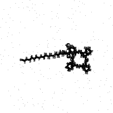 CCCCCCCCCCCCCCCCCCNC(=O)c1cccc2c3nc4nc(nc5[nH]c(nc6nc(nc([nH]3)c12)-c1ccccc1-6)c1ccccc51)-c1ccccc1-4.[Cu]